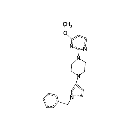 COc1ccnc(N2CCN(c3ccn(Cc4ccccc4)c3)CC2)n1